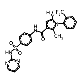 Cc1cc(C(=O)Nc2ccc(S(=O)(=O)Nc3ncccn3)cc2)c(C)n1-c1ccccc1C(F)(F)F